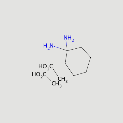 CC(=O)O.CC(=O)O.NC1(N)CCCCC1